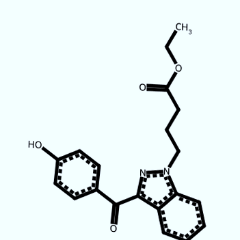 CCOC(=O)CCCn1nc(C(=O)c2ccc(O)cc2)c2ccccc21